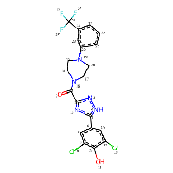 O=C(c1n[nH]c(-c2cc(Cl)c(O)c(Cl)c2)n1)N1CCN(c2cccc(C(F)(F)F)c2)CC1